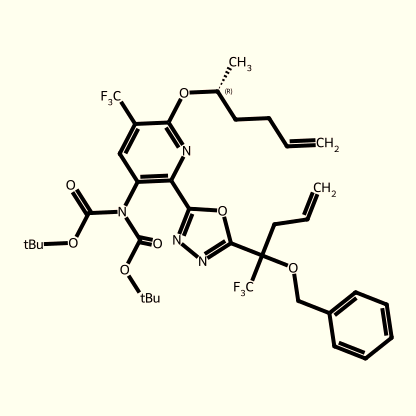 C=CCC[C@@H](C)Oc1nc(-c2nnc(C(CC=C)(OCc3ccccc3)C(F)(F)F)o2)c(N(C(=O)OC(C)(C)C)C(=O)OC(C)(C)C)cc1C(F)(F)F